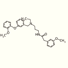 CCN(CCCNC(=O)Cc1cccc(OC)c1)Cc1cccc(Oc2ccccc2OC)c1